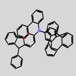 c1ccc(-c2ccccc2N(c2ccc3c(c2)-c2c4cccc2-c2cccc-3c2-c2ccccc2-4)c2ccc3c(c2)-c2ccccc2C3c2ccccc2)cc1